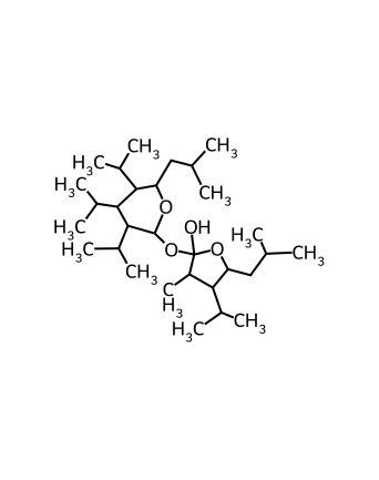 CC(C)CC1OC(OC2(O)OC(CC(C)C)C(C(C)C)C2C)C(C(C)C)C(C(C)C)C1C(C)C